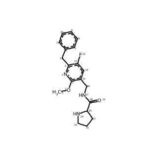 COc1nc(Cc2ccccc2)c(F)cc1CNC(=O)C1CCCN1